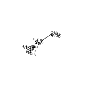 COC(=O)C(CCC(=O)NCCCCCCCCNc1cccc2c1C(=O)N(C1CCC(=O)NC1=O)C2=O)NC(=O)CC[C@H](NC(=O)c1ccc(N(C)Cc2cnc3nc(N)nc(N)c3n2)cc1)C(=O)O